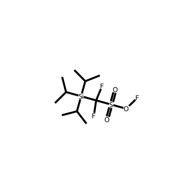 CC(C)[Si](C(C)C)(C(C)C)C(F)(F)S(=O)(=O)OF